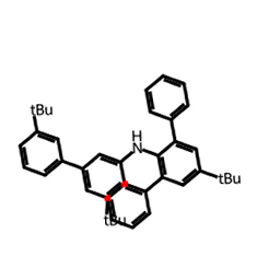 CC(C)(C)c1cccc(-c2cc(Nc3c(-c4ccccc4)cc(C(C)(C)C)cc3-c3ccccc3)cc(C(C)(C)C)c2)c1